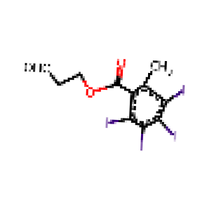 Cc1c(I)c(I)c(I)c(I)c1C(=O)OCCC=O